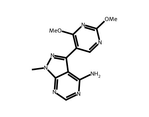 COc1ncc(-c2nn(C)c3ncnc(N)c23)c(OC)n1